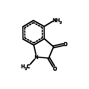 CN1C(=O)C(=O)c2c(N)cccc21